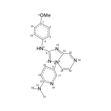 COc1ccc(NC2=N[N+]3(c4ccc(N(C)C)nc4)C=CN=CC3=N2)cc1